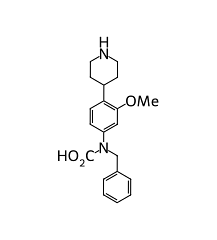 COc1cc(N(Cc2ccccc2)C(=O)O)ccc1C1CCNCC1